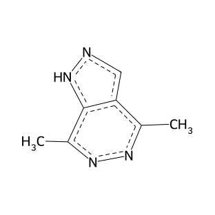 Cc1nnc(C)c2[nH]ncc12